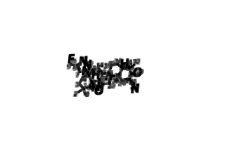 CC1(C)CC[C@]2(n3cc(CF)nn3)CC[C@]3(C)[C@H](C(=O)C=C4[C@@]5(C)C=C(C#N)C(=O)C(C)(C)[C@@H]5CC[C@]43C)[C@@H]2C1